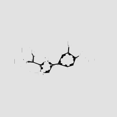 CCCCCCCCOc1ccc(-c2c[nH]c([C@@](C)(N)CO)n2)cc1F